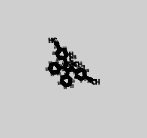 C#Cc1ccc(C2=C(c3ccccc3)C(c3ccccc3)=C(c3ccc(C#C)cc3)[Si]2(C)C)cc1